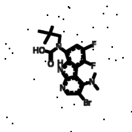 CN(C)c1c(Br)cnc2[nH]c3c(N(CC(C)(C)C)C(=O)O)cc(F)c(F)c3c12